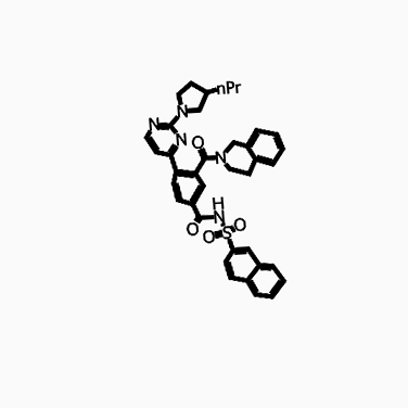 CCCC1CCN(c2nccc(-c3ccc(C(=O)NS(=O)(=O)c4ccc5ccccc5c4)cc3C(=O)N3CCc4ccccc4C3)n2)C1